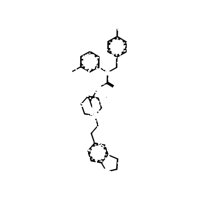 Cc1cccc(N(Cc2ccc(F)cc2)C(=O)O[C@H]2C[N+]3(CCc4ccc5c(c4)CCO5)CCC2CC3)c1